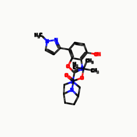 Cn1ccc(-c2ccc(O)c3nc(N4CC5CCC(C4)N5C(=O)OC(C)(C)C)oc23)n1